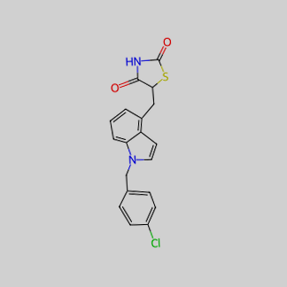 O=C1NC(=O)C(Cc2cccc3c2ccn3Cc2ccc(Cl)cc2)S1